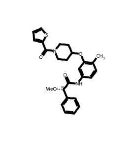 CO[C@H](C(=O)Nc1ccc(C)c(OC2CCN(C(=O)c3cccs3)CC2)c1)c1ccccc1